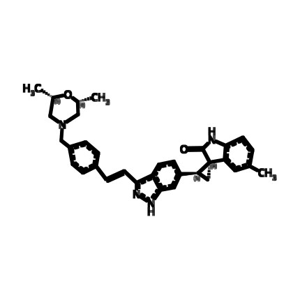 Cc1ccc2c(c1)[C@]1(C[C@H]1c1ccc3c(C=Cc4ccc(CN5C[C@@H](C)O[C@@H](C)C5)cc4)n[nH]c3c1)C(=O)N2